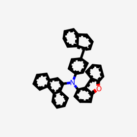 c1ccc2c(-c3ccc(N(c4cc5ccccc5c5ccccc45)c4cccc5oc6ccccc6c45)cc3)cccc2c1